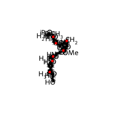 C=C1C[C@H]2[C@H](O)N(C(=O)OCc3ccc(NC(=O)C(C)NC(=O)C(N)C(C)C)cc3)c3cc(OCCCC(=O)Nc4cc(C(=O)Nc5ccc(-c6cc(C(=O)NCCCO)n(C)c6)cc5)n(C)c4)c(OC)cc3C(=O)N2C1